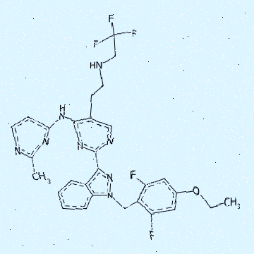 CCOc1cc(F)c(Cn2nc(-c3ncc(CCNCC(F)(F)F)c(Nc4ccnc(C)n4)n3)c3ccccc32)c(F)c1